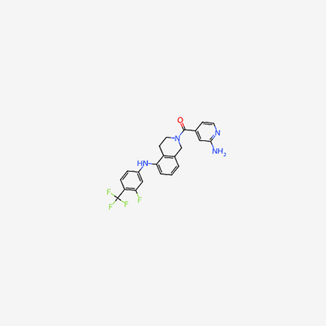 Nc1cc(C(=O)N2CCc3c(cccc3Nc3ccc(C(F)(F)F)c(F)c3)C2)ccn1